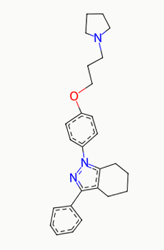 c1ccc(-c2nn(-c3ccc(OCCCN4CCCC4)cc3)c3c2CCCC3)cc1